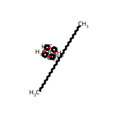 CCCCCCCCCCCCCCCCCCC([NH3+])CCCCCCCCCCCCCCCCCC.Cc1ccccc1[B-](c1ccccc1C)(c1ccccc1C)c1ccccc1C